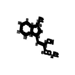 CCOC(=O)/C(C#N)=C/c1cn(CC)c2ccccc12